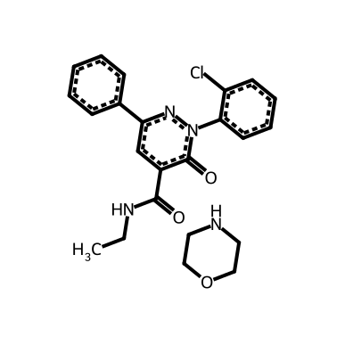 C1COCCN1.CCNC(=O)c1cc(-c2ccccc2)nn(-c2ccccc2Cl)c1=O